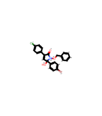 O=C1C(c2ccc(Cl)cc2)=CC(O)(c2ccc(Br)cc2)N1OCc1ccccc1